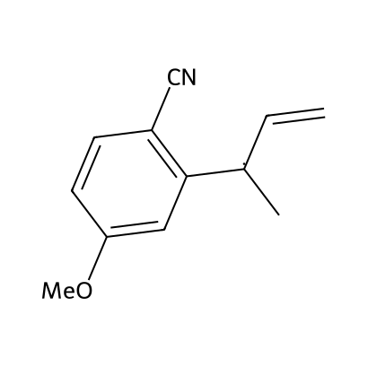 C=C[C](C)c1cc(OC)ccc1C#N